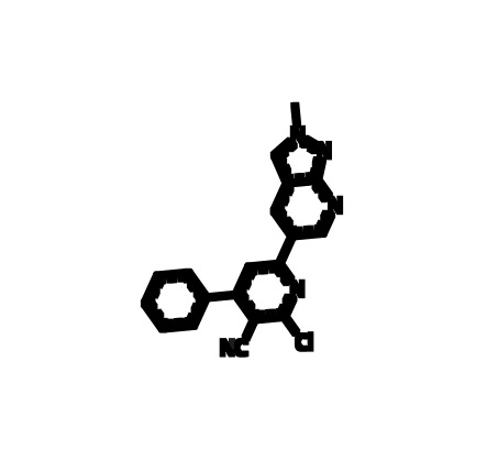 Cn1cc2cc(-c3cc(-c4ccccc4)c(C#N)c(Cl)n3)cnc2n1